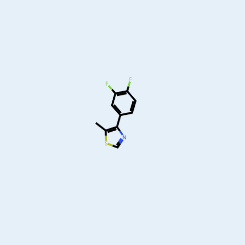 Cc1scnc1-c1ccc(F)c(F)c1